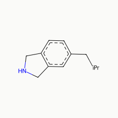 CC(C)Cc1ccc2c(c1)CNC2